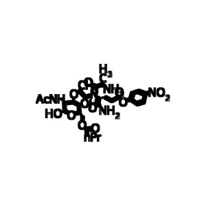 CCCC(=O)OC[C@H]1O[C@H](O)[C@H](NC(C)=O)[C@@H](OC(C)CN(C(=O)[C@H](C)N)[C@H](CCC(=O)Oc2ccc([N+](=O)[O-])cc2)C(N)=O)[C@@H]1O